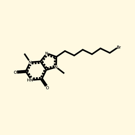 Cn1c(CCCCCCBr)nc2c1c(=O)[nH]c(=O)n2C